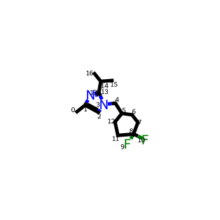 Cc1cn(CC2CCC(F)(F)CC2)c(C(C)C)n1